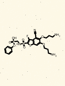 N#Cc1c(OCCCN)c(OCCCN)cc2sc(S(=O)(=O)NCP(=O)(O)Oc3ccccc3)c(F)c12